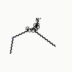 CCCCCCCCCC/C=C\CCCCCCCCCC(=O)OC[C@H](COP(=O)([O-])OCC[N+](C)(C)C)OC(=O)CCCCCCCCCCCCCCCCC